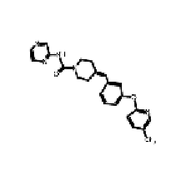 O=C(Nc1cnccn1)N1CCC(=Cc2cccc(Oc3ccc(C(F)(F)F)cn3)c2)CC1